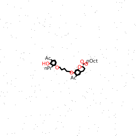 CCCCCCCCOC(=O)[C@@H]1CCc2cc(C(C)=O)c(OCCCCCOc3ccc(C(C)=O)c(O)c3CCC)cc2O1